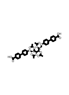 CC(=O)O[C@H]([C@H](OC(C)=O)[C@H](COc1ccc(-c2ccc(C(=O)O)cc2)cc1)OC(C)=O)[C@@H](COc1ccc(-c2ccc(C(=O)O)cc2)cc1)OC(C)=O